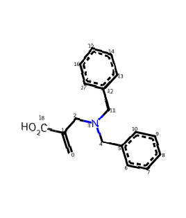 C=C(CN(Cc1ccccc1)Cc1ccccc1)C(=O)O